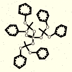 CC(Oc1ccccc1)(Oc1ccccc1)OP(=O)(OC(C)(Oc1ccccc1)Oc1ccccc1)OC(C)(Oc1ccccc1)Oc1ccccc1